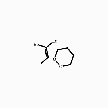 C1CCOOC1.CC=C(CC)CC